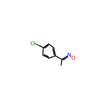 CC(=N[O])c1ccc(Cl)cc1